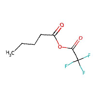 CCCCC(=O)OC(=O)C(F)(F)F